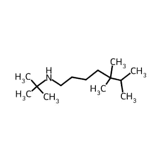 CC(C)C(C)(C)CCCCNC(C)(C)C